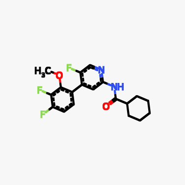 COc1c(-c2cc(NC(=O)C3CCCCC3)ncc2F)ccc(F)c1F